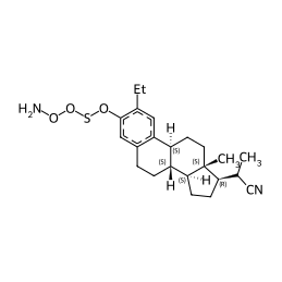 CCc1cc2c(cc1OSOON)CC[C@@H]1[C@@H]2CC[C@]2(C)[C@@H](C(C)C#N)CC[C@@H]12